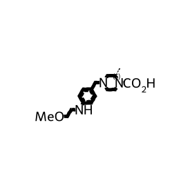 COCCNc1ccc(CN2CCN(C(=O)O)[C@@H](C)C2)cc1